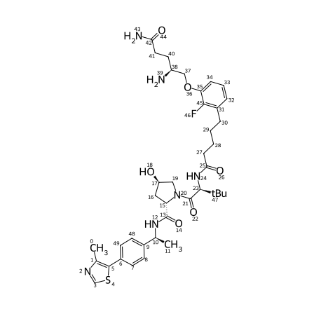 Cc1ncsc1-c1ccc([C@H](C)NC(=O)[C@@H]2C[C@@H](O)CN2C(=O)[C@@H](NC(=O)CCCCc2cccc(OC[C@@H](N)CCC(N)=O)c2F)C(C)(C)C)cc1